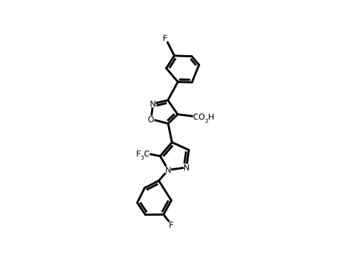 O=C(O)c1c(-c2cccc(F)c2)noc1-c1cnn(-c2cccc(F)c2)c1C(F)(F)F